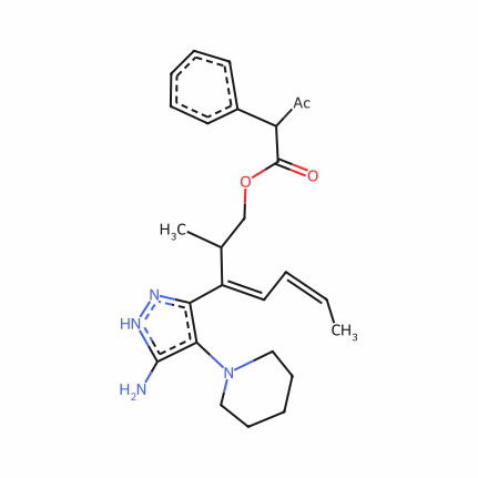 C/C=C\C=C(\c1n[nH]c(N)c1N1CCCCC1)C(C)COC(=O)C(C(C)=O)c1ccccc1